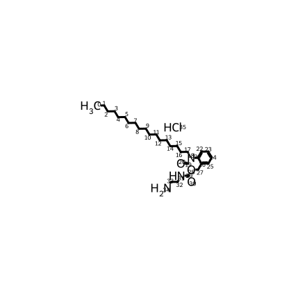 CCCCCCCCCCCCCCCCCCN(C=O)c1ccccc1COC(=O)NCCN.Cl